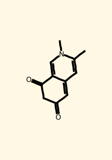 CC1=CC2=CC(=O)CC(=O)C2=CN1C